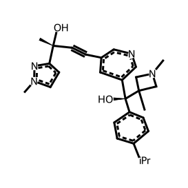 CC(C)c1ccc([C@](O)(c2cncc(C#C[C@@](C)(O)c3ccn(C)n3)c2)C2(C)CN(C)C2)cc1